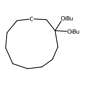 CC(C)COC1(OCC(C)C)CCCCCCCCCC1